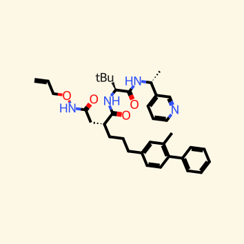 C=CCONC(=O)C[C@@H](CCCc1ccc(-c2ccccc2)c(C)c1)C(=O)N[C@H](C(=O)N[C@H](C)c1cccnc1)C(C)(C)C